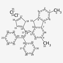 Cc1ccc2c(c1)-c1cc(C)c[c]([Ti+2]([C]3=CC=CC3)=[C](c3ccccc3)c3ccccc3)c1C2.[Cl-].[Cl-]